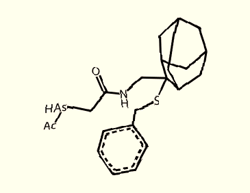 CC(=O)[AsH]CC(=O)NCC1(SCc2ccccc2)C2CC3CC(C2)CC1C3